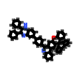 c1ccc(C2=Nc3cc(-c4ccc(-c5nc6ccccc6c6cc7c(cc56)Oc5ccccc5C75c6ccccc6-c6ccccc65)cc4)ccc3NC2c2ccccc2)cc1